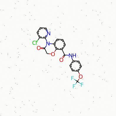 O=C(Nc1ccc(OC(F)(F)F)cc1)c1cccc2c1OCC(=O)N2c1ncccc1Cl